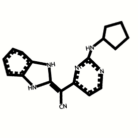 N#CC(=C1Nc2ccccc2N1)c1ccnc(NC2CCCC2)n1